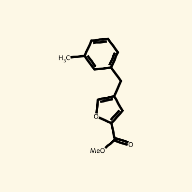 COC(=O)c1cc(Cc2cccc(C)c2)co1